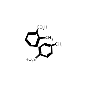 Cc1ccc(S(=O)(=O)O)cc1.Cc1ccccc1C(=O)O